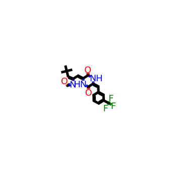 CC(C)(C)c1ocnc1C=c1[nH]c(=O)c(=Cc2cccc(C(F)(F)F)c2)[nH]c1=O